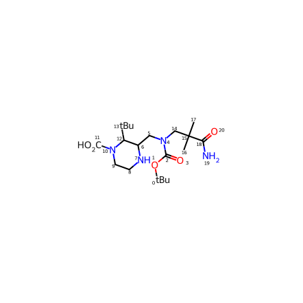 CC(C)(C)OC(=O)N(CC1NCCN(C(=O)O)C1C(C)(C)C)CC(C)(C)C(N)=O